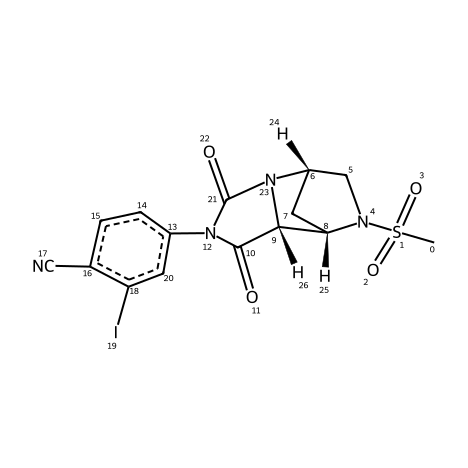 CS(=O)(=O)N1C[C@@H]2C[C@H]1[C@@H]1C(=O)N(c3ccc(C#N)c(I)c3)C(=O)N21